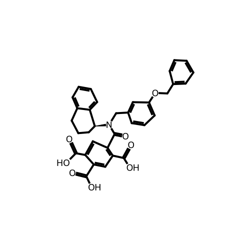 O=C(O)c1cc(C(=O)O)c(C(=O)N(Cc2cccc(OCc3ccccc3)c2)[C@H]2CCCc3ccccc32)cc1C(=O)O